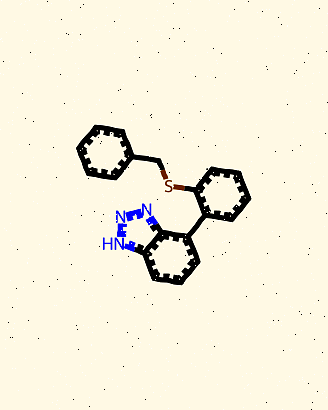 [c]1cccc(-c2cccc3[nH]nnc23)c1SCc1ccccc1